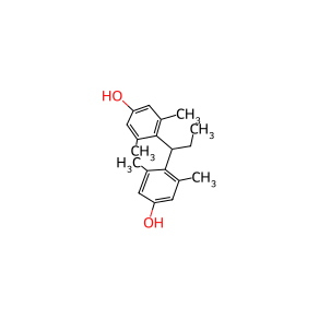 CCC(c1c(C)cc(O)cc1C)c1c(C)cc(O)cc1C